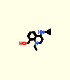 CCN1CCC(NC2CC2)c2cccc(CO)c21